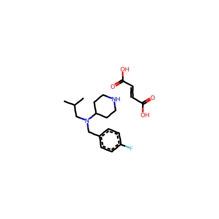 CC(C)CN(Cc1ccc(F)cc1)C1CCNCC1.O=C(O)/C=C/C(=O)O